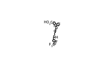 O=C(O)c1ccc2c(c1)nc(OCCOCCCCNCc1ccc(OC(F)(F)F)c(F)c1)c1ccncc12